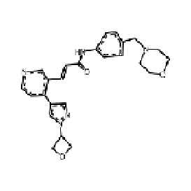 O=C(/C=C/c1cnccc1-c1cnn(C2COC2)c1)Nc1ccc(CN2CCOCC2)cc1